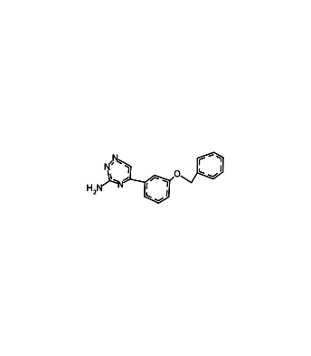 Nc1nncc(-c2cccc(OCc3ccccc3)c2)n1